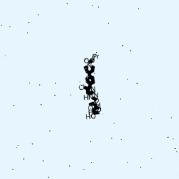 CC(C)OC(=O)N1CCC(c2ccc(-c3nc4nc(O[C@@H]5CO[C@H]6[C@@H]5OC[C@H]6O)[nH]c4cc3Cl)cc2)CC1